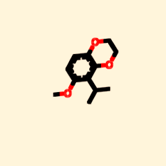 COc1ccc2c(c1C(C)C)OCCO2